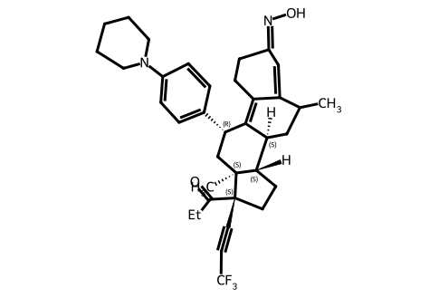 CCC(=O)[C@@]1(C#CC(F)(F)F)CC[C@H]2[C@@H]3CC(C)C4=CC(=NO)CCC4=C3[C@@H](c3ccc(N4CCCCC4)cc3)C[C@@]21C